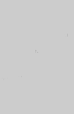 C=C/C=N/CCOCCC